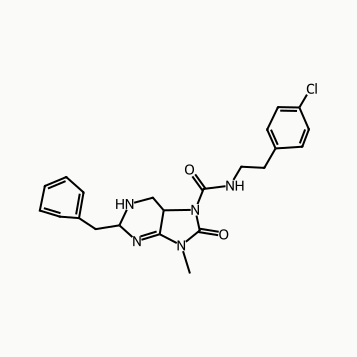 CN1C(=O)N(C(=O)NCCc2ccc(Cl)cc2)C2CNC(Cc3ccccc3)N=C21